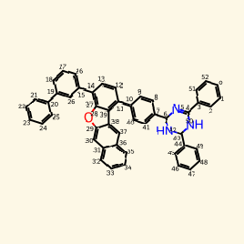 c1ccc(C2=NC(c3ccc(-c4ccc(-c5cccc(-c6ccccc6)c5)c5oc6cc7ccccc7cc6c45)cc3)NC(c3ccccc3)N2)cc1